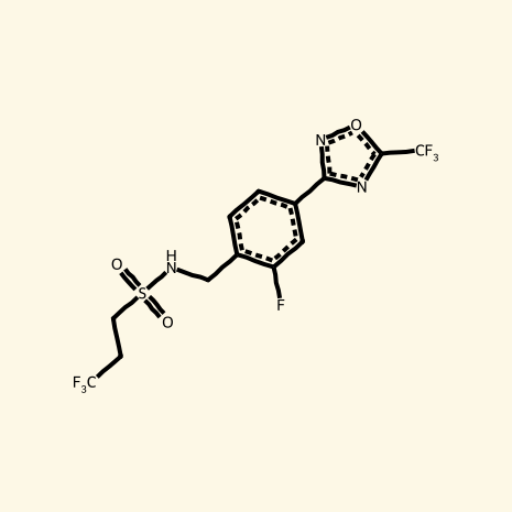 O=S(=O)(CCC(F)(F)F)NCc1ccc(-c2noc(C(F)(F)F)n2)cc1F